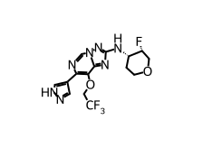 F[C@@H]1COCC[C@@H]1Nc1nc2c(OCC(F)(F)F)c(-c3cn[nH]c3)ncn2n1